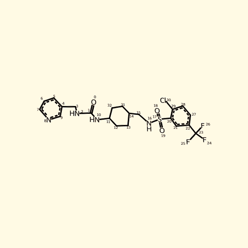 O=C(NCc1cccnc1)NC1CCC(CNS(=O)(=O)c2cc(C(F)(F)F)ccc2Cl)CC1